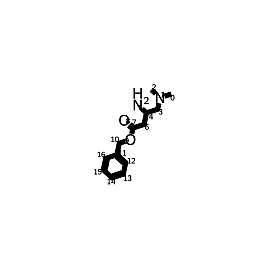 CN(C)CC(N)CC(=O)OCc1ccccc1